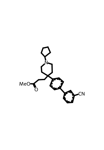 COC(=O)CCC1(c2ccc(-c3cccc(C#N)c3)cc2)CCN(C2CCCC2)CC1